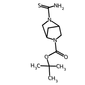 CC(C)(C)OC(=O)N1CC2CC1CN2C(N)=S